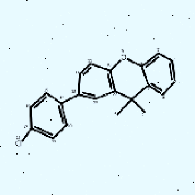 CC1(C)c2ccccc2Oc2ccc(-c3ccc(Cl)cc3)cc21